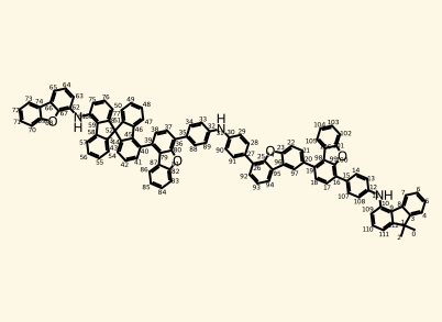 CC1(C)c2ccccc2-c2c(Nc3ccc(-c4ccc(-c5ccc6oc7c(-c8ccc(Nc9ccc(-c%10ccc(-c%11cccc%12c%11-c%11ccccc%11C%12%11c%12ccccc%12-c%12c(Nc%13cccc%14c%13oc%13ccccc%13%14)cccc%12%11)c%11c%10oc%10ccccc%10%11)cc9)cc8)cccc7c6c5)c5c4oc4ccccc45)cc3)cccc21